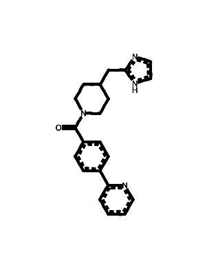 O=C(c1ccc(-c2ccccn2)cc1)N1CCC(Cc2ncc[nH]2)CC1